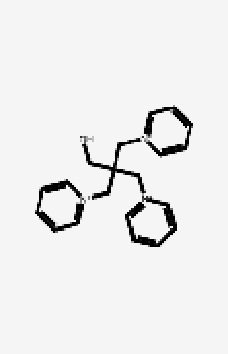 OCC(C[n+]1ccccc1)(C[n+]1ccccc1)C[n+]1ccccc1